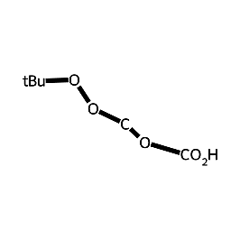 CC(C)(C)OOCOC(=O)O